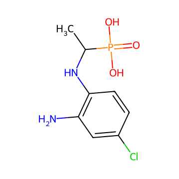 CC(Nc1ccc(Cl)cc1N)P(=O)(O)O